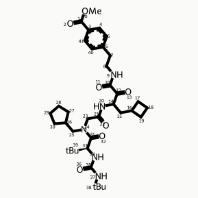 COC(=O)c1ccc(CCNC(=O)C(=O)C(CC2CCC2)NC(=O)CN(CC2CCCC2)C(=O)[C@@H](NC(=O)NC(C)(C)C)C(C)(C)C)cc1